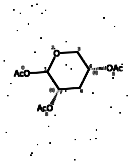 CC(=O)OC1OC[C@H](OC(C)=O)C[C@@H]1OC(C)=O